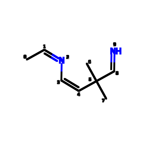 C/C=N\C=C/C(C)(C)C=N